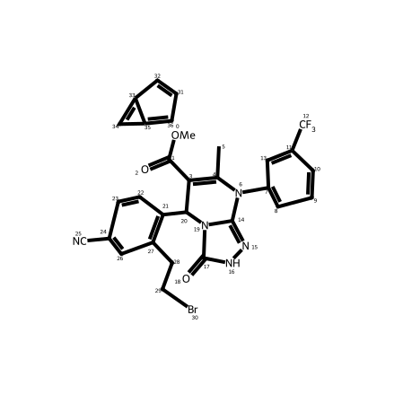 COC(=O)C1=C(C)N(c2cccc(C(F)(F)F)c2)c2n[nH]c(=O)n2C1c1ccc(C#N)cc1CCBr.c1cc2cc-2c1